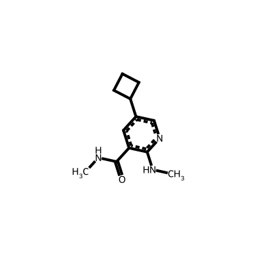 CNC(=O)c1cc(C2CCC2)cnc1NC